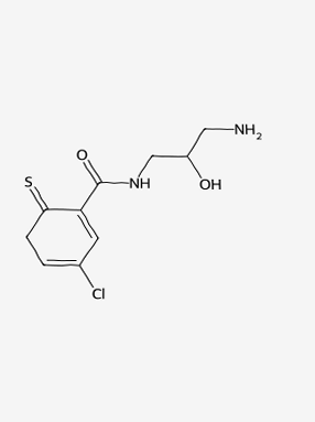 NCC(O)CNC(=O)C1=CC(Cl)=CCC1=S